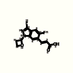 O=C(O)/C=C/c1cc2c(cc1F)c(F)nn2C1CCO1